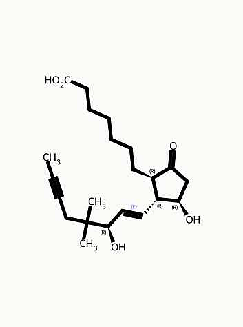 CC#CCC(C)(C)[C@H](O)/C=C/[C@H]1[C@H](O)CC(=O)[C@@H]1CCCCCCC(=O)O